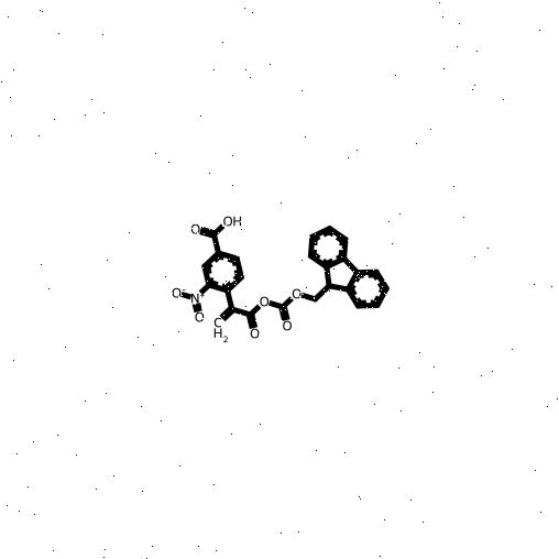 C=C(C(=O)OC(=O)OCC1c2ccccc2-c2ccccc21)c1ccc(C(=O)O)cc1[N+](=O)[O-]